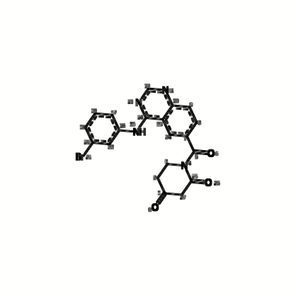 O=C1CCN(C(=O)c2ccc3ncnc(Nc4cccc(Br)c4)c3c2)C(=O)C1